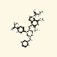 COC(=O)c1ccc(C2CN(Cc3ccccc3)CCN2Cc2c(OC)cc(C)c3c2ccn3C(=O)OC(C)(C)C)cc1